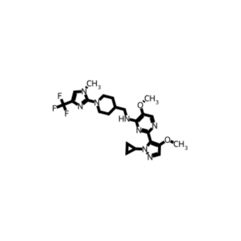 COc1cnc(-c2c(OC)cnn2C2CC2)nc1NCC1CCN(c2nc(C(F)(F)F)cn2C)CC1